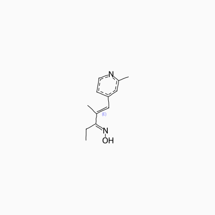 CCC(=NO)/C(C)=C/c1ccnc(C)c1